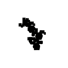 Cc1ccc(N(C(=O)c2ccncc2)C2CNCCO2)cc1NC(=O)c1ccc(N(C)CC(C)(C)N)nc1